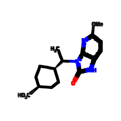 COc1ccc2[nH]c(=O)n(C(C)[C@H]3CC[C@H](C(=O)O)CC3)c2n1